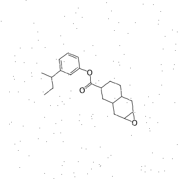 CCC(C)c1cccc(OC(=O)C2CCC3CC4OC4CC3C2)c1